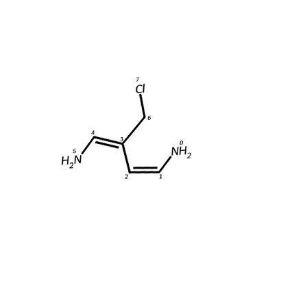 N/C=C\C(=C/N)CCl